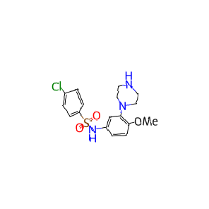 COc1ccc(NS(=O)(=O)c2ccc(Cl)cc2)cc1N1CCNCC1